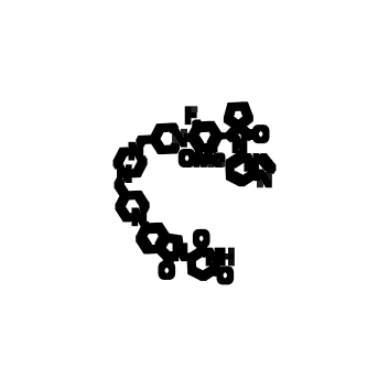 COc1cc(N2CCC(CN3CCN(CC4CCN(c5ccc6c(c5)CN([C@H]5CCC(=O)NC5=O)C6=O)CC4)CC3)CC2)c(F)cc1[C@@H]1N(c2cccc3nccn23)C(=O)C12CCCC2